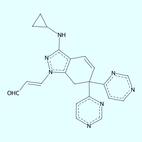 O=CC=Cn1nc(NC2CC2)c2c1CC(c1ccncn1)(c1ccncn1)C=C2